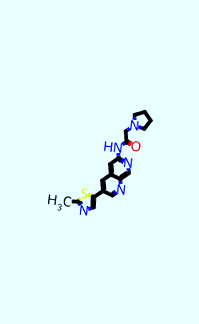 Cc1ncc(-c2cnc3cnc(NC(=O)CN4CCCC4)cc3c2)s1